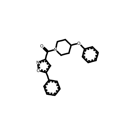 O=C(c1cc(-c2ccccc2)on1)N1CCC(Oc2ccccc2)CC1